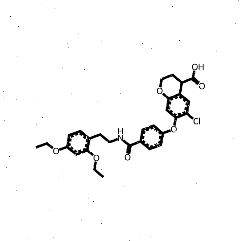 CCOc1ccc(CCNC(=O)c2ccc(Oc3cc4c(cc3Cl)C(C(=O)O)CCO4)cc2)c(OCC)c1